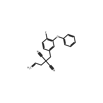 C=CCC(C#N)(C#N)Cc1ccc(F)c(Oc2ccccc2)c1